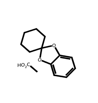 CC(=O)O.c1ccc2c(c1)OC1(CCCCC1)O2